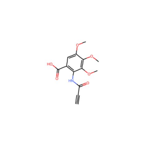 C#CC(=O)Nc1c(C(=O)O)cc(OC)c(OC)c1OC